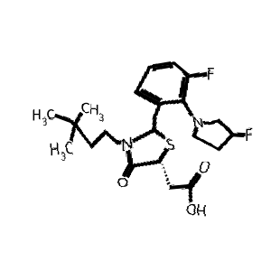 CC(C)(C)CCN1C(=O)[C@@H](CC(=O)O)SC1c1cccc(F)c1N1CCC(F)C1